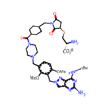 CCCCNc1nc(N)nc2cn(Cc3c(OC)ccc(CN4CCN(C(=O)C5CCC(CN6C(=O)CC(SC[C@H](N)C(=O)O)C6=O)CC5)CC4)c3OC)nc12